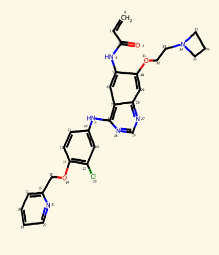 C=CC(=O)Nc1cc2c(Nc3ccc(OCc4ccccn4)c(Cl)c3)ncnc2cc1OCCN1CCC1